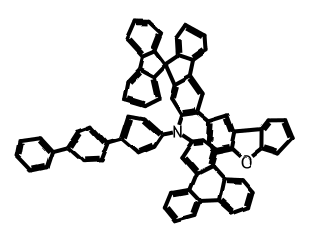 c1ccc(-c2ccc(-c3ccc(N(c4ccc5c6ccccc6c6ccccc6c5c4)c4cc5c(cc4-c4ccc6oc7ccccc7c6c4)-c4ccccc4C54c5ccccc5-c5ccccc54)cc3)cc2)cc1